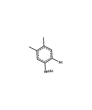 CC(=O)Nc1cc(C)c(C)cc1C(C)=O